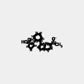 C[S+]([O-])c1ncc2ccc(-c3ccccc3N3CCCS3(O)O)n2n1